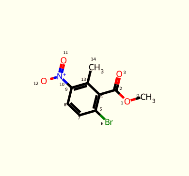 COC(=O)c1c(Br)ccc([N+](=O)[O-])c1C